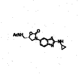 CC(=O)NC[C@H]1CN(c2ccc3nc(NC4CC4)sc3c2)C(=O)O1